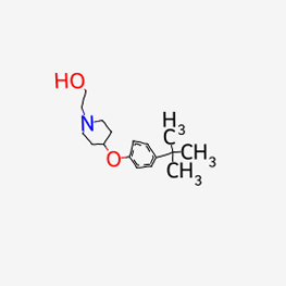 CC(C)(C)c1ccc(OC2CCN(CCO)CC2)cc1